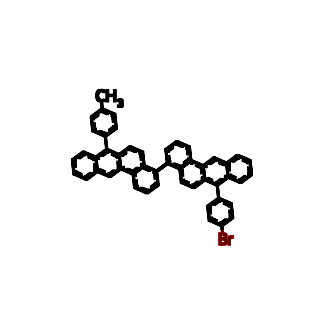 Cc1ccc(-c2c3ccccc3cc3c2ccc2c(-c4cccc5c4ccc4c(-c6ccc(Br)cc6)c6ccccc6cc45)cccc23)cc1